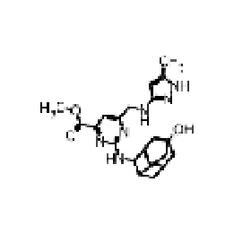 COC(=O)c1cc(CNc2cc(C)[nH]n2)nc(NC2C3CC4CC2CC(O)(C4)C3)n1